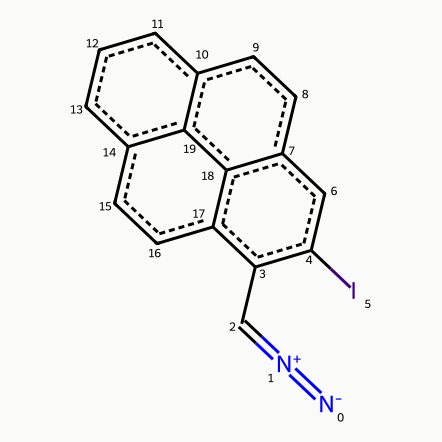 [N-]=[N+]=Cc1c(I)cc2ccc3cccc4ccc1c2c34